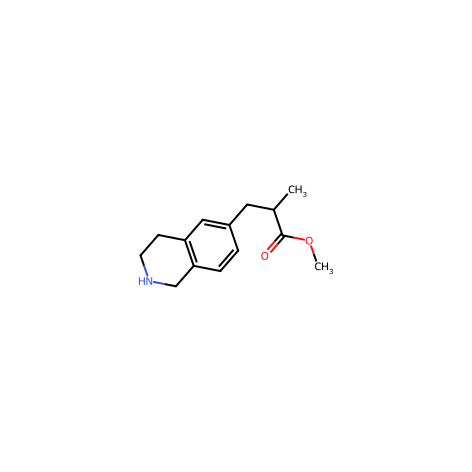 COC(=O)C(C)Cc1ccc2c(c1)CCNC2